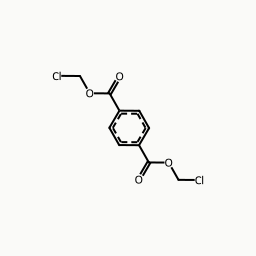 O=C(OCCl)c1ccc(C(=O)OCCl)cc1